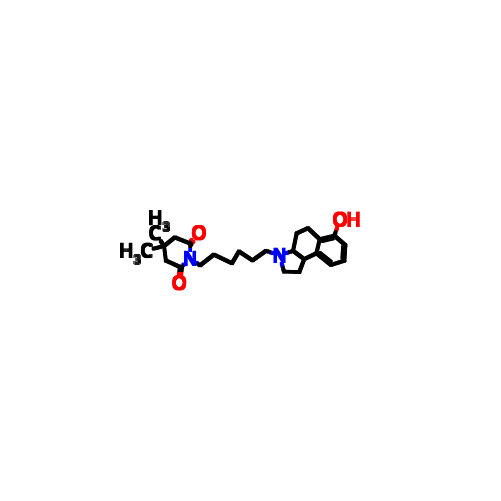 CC1(C)CC(=O)N(CCCCCCN2CCC3c4cccc(O)c4CCC32)C(=O)C1